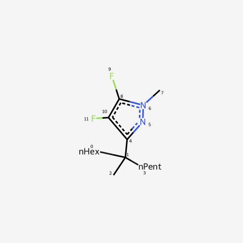 CCCCCCC(C)(CCCCC)c1nn(C)c(F)c1F